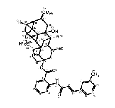 CCN1C[C@]2(OC(=O)c3ccccc3NC(=O)/C=C/c3cncc(C)c3)CC[C@H](OC)[C@]34C1[C@@H](C[C@H]23)[C@@]1(O)C[C@H](OC)C2[C@H]3C[C@@H]4[C@]1(O)[C@@H]23